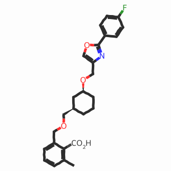 Cc1cccc(COC[C@@H]2CCC[C@H](OCc3coc(-c4ccc(F)cc4)n3)C2)c1C(=O)O